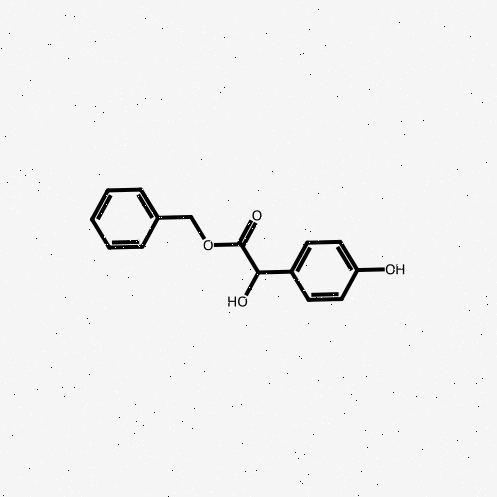 O=C(OCc1ccccc1)C(O)c1ccc(O)cc1